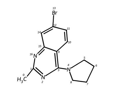 Cc1nc(N2CCCC2)c2ccc(Br)cc2n1